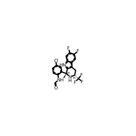 C[C@]1(c2cc(Cl)ccc2NC=O)N[C@@H](C(F)(F)F)Cc2c1[nH]c1cc(F)c(F)cc21